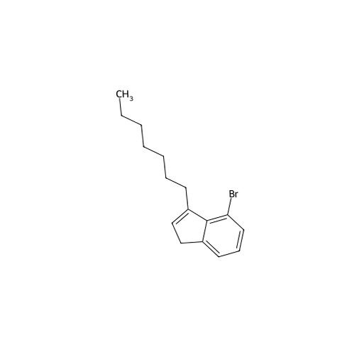 CCCCCCCC1=CCc2cccc(Br)c21